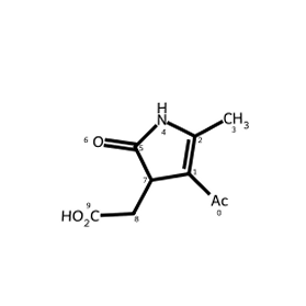 CC(=O)C1=C(C)NC(=O)C1CC(=O)O